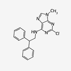 Cn1cnc2c(NCC(c3ccccc3)c3ccccc3)nc(Cl)nc21